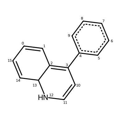 C1=CC2=C(c3ccccc3)C=CNC2C=C1